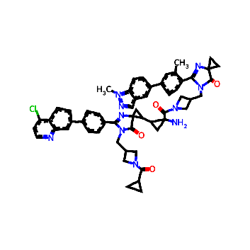 Cc1cc(-c2ccc3c(cnn3C)c2)ccc1C1=NC2(CC2)C(=O)N1CC1CN(C(=O)C2(N)CC2C2CC23N=C(c2ccc(-c4ccc5c(Cl)ccnc5c4)cc2)N(CC2CN(C(=O)C4CC4)C2)C3=O)C1